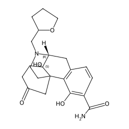 NC(=O)c1ccc2c(c1O)C13CCN(CC4CCCO4)[C@H](C2)[C@]1(O)CCC(=O)C3